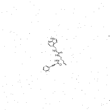 C=CCC(CNC(=S)NCc1ccnc2[nH]ccc12)NC(=O)C#Cc1ccccc1